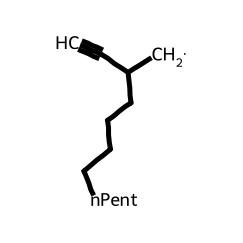 C#CC([CH2])CCCCCCCCC